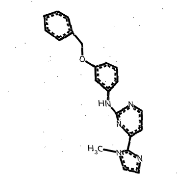 Cn1ccnc1-c1ccnc(Nc2cccc(OCc3ccccc3)c2)n1